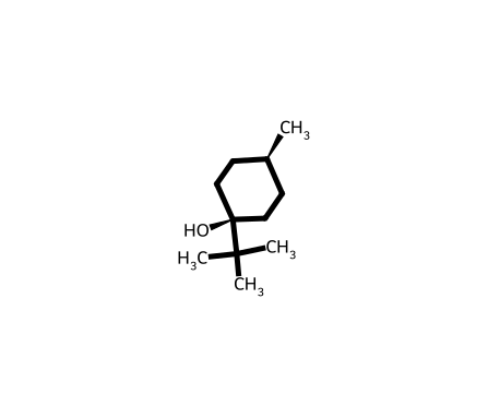 CC(C)(C)[C@]1(O)CC[C@@H](C)CC1